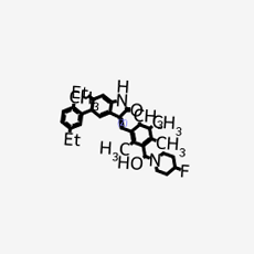 CCc1ccc(C)c(C2C=C3C(=CC2CC)NC(=O)/C3=C\C2=C(C)C(C(O)N3CCC(F)CC3)=C(C)C(C)C2C)c1